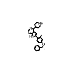 Cc1cc(O[C@H](C)c2ccccc2)ccc1-c1cc2c(C3=CCNCC3)ncnc2[nH]1